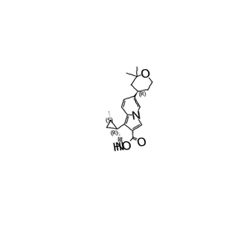 C[C@H]1C[C@]1(C#N)c1c(C(=O)O)cn2cc([C@@H]3CCOC(C)(C)C3)ccc12